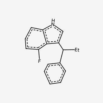 [CH2]CC(c1ccccc1)c1c[nH]c2cccc(F)c12